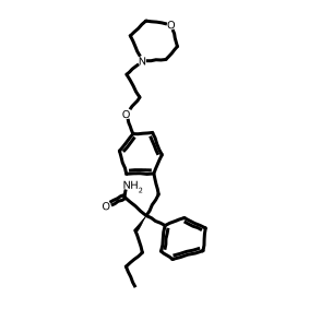 CCCC[C@](Cc1ccc(OCCN2CCOCC2)cc1)(C(N)=O)c1ccccc1